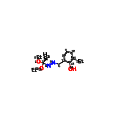 CCOC([SiH3])(/N=N/Cc1cccc(CC)c1O)OCC